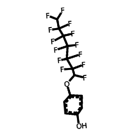 Oc1ccc(OC(F)C(F)(F)C(F)(F)C(F)(F)C(F)(F)C(F)(F)C(F)F)cc1